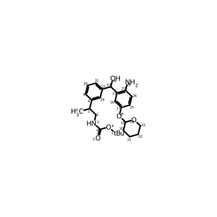 CC(CNC(=O)OC(C)(C)C)c1cccc(C(O)c2cc(OC3CCCCO3)ccc2N)c1